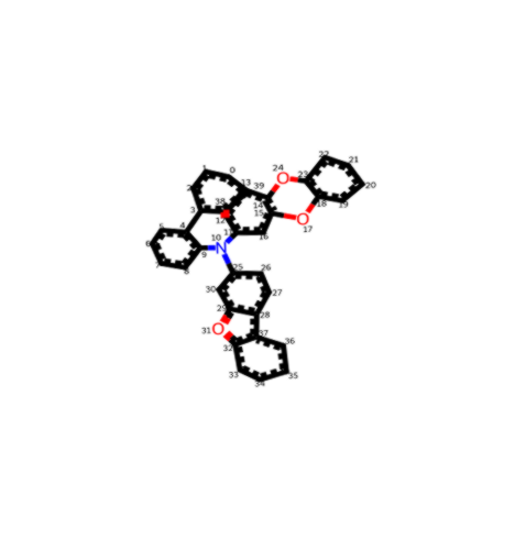 c1ccc(-c2ccccc2N(c2ccc3c(c2)Oc2ccccc2O3)c2ccc3c(c2)oc2ccccc23)cc1